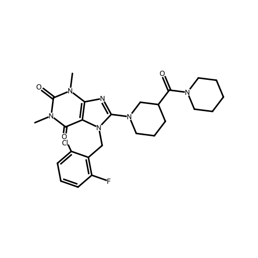 Cn1c(=O)c2c(nc(N3CCCC(C(=O)N4CCCCC4)C3)n2Cc2c(F)cccc2Cl)n(C)c1=O